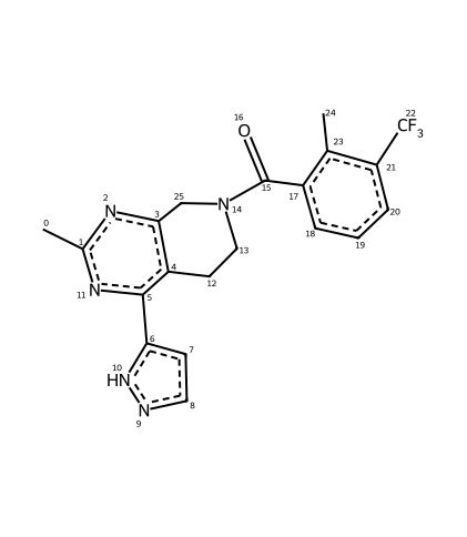 Cc1nc2c(c(-c3ccn[nH]3)n1)CCN(C(=O)c1cccc(C(F)(F)F)c1C)C2